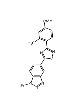 COc1ccc(-c2noc(-c3ccc4c(c3)nnn4C(C)C)n2)c(C)c1